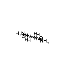 NC(=O)CNCNCCCCNCNCC(N)=O